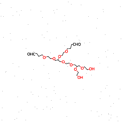 O=CCCCOCCOCC(COCCOCC(COCCO)OCCO)OCCOCCCC=O